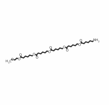 COCCOC(=O)CCCCCOC(=O)CCCCCOC(=O)CCCCCOC(=O)CCCCCOC(=O)CCCCCN